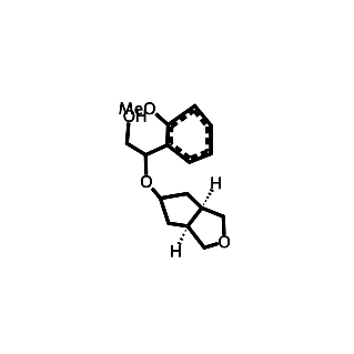 COc1ccccc1C(CO)OC1C[C@H]2COC[C@H]2C1